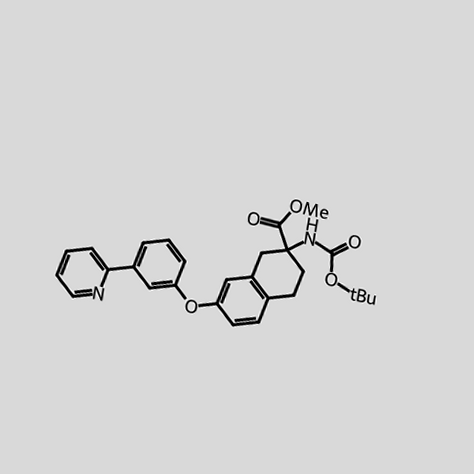 COC(=O)C1(NC(=O)OC(C)(C)C)CCc2ccc(Oc3cccc(-c4ccccn4)c3)cc2C1